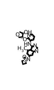 Cc1cc(N=S2(=O)CCC2)cc2ncnc(Nc3cccnc3O[C@H]3COC[C@@H]3O)c12